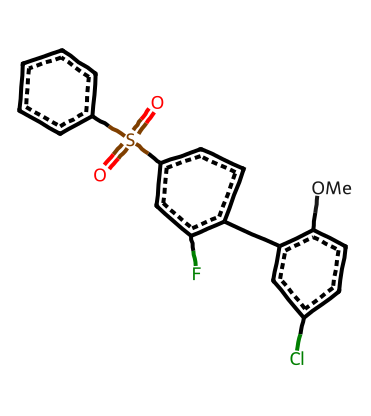 COc1ccc(Cl)cc1-c1ccc(S(=O)(=O)c2ccccc2)cc1F